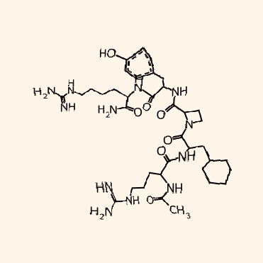 CC(=O)NC(CCCNC(=N)N)C(=O)NC(CC1CCCCC1)C(=O)N1CCC1C(=O)NC(Cc1ccc(O)cc1)C(=O)NC(CCCCNC(=N)N)C(N)=O